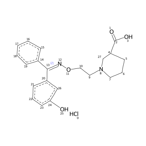 Cl.O=C(O)C1CCCN(CCO/N=C(/c2ccccc2)c2cccc(O)c2)C1